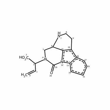 C=CC(C(=O)O)N1CC2NCCc3c2n(c2ccccc32)C1=O